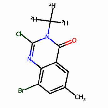 [2H]C([2H])([2H])n1c(Cl)nc2c(Br)cc(C)cc2c1=O